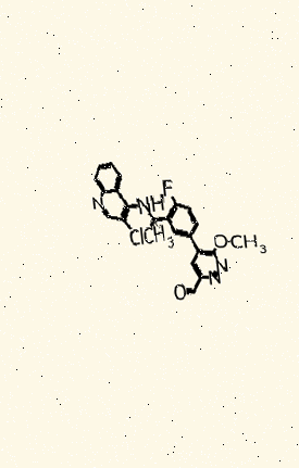 COc1nnc(C=O)cc1-c1ccc(F)c([C@@H](C)Nc2c(Cl)cnc3ccccc23)c1